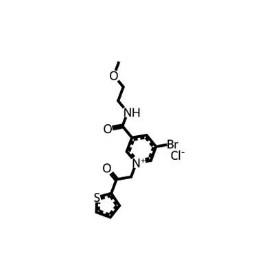 COCCNC(=O)c1cc(Br)c[n+](CC(=O)c2cccs2)c1.[Cl-]